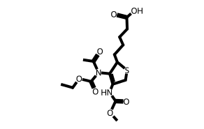 CCOC(=O)N(C(C)=O)C1=C(NC(=O)OC)CSC1CCCCC(=O)O